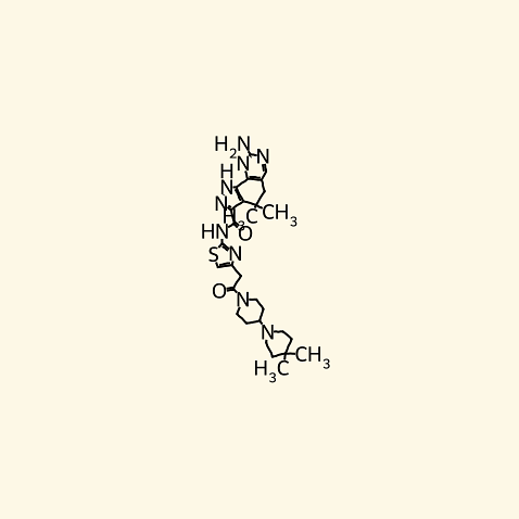 CC1(C)CCN(C2CCN(C(=O)Cc3csc(NC(=O)c4n[nH]c5c4C(C)(C)Cc4cnc(N)nc4-5)n3)CC2)CC1